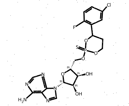 Nc1ncnc2c1ncn2[C@@H]1O[C@H](COP2(=S)OCCC(c3cc(Cl)ccc3F)O2)[C@@H](O)[C@H]1O